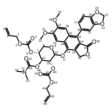 C=CCOC(=O)O[C@@H]1COC(Oc2c3c(c(-c4ccc5c(c4)OCO5)c4cc(OC)c(OC)cc24)C(=O)OC3)[C@H](OC(=O)OCC=C)[C@H]1OC(=O)N(C)C